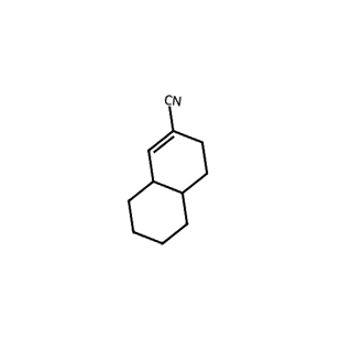 N#CC1=CC2CCCCC2CC1